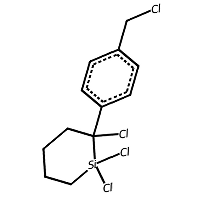 ClCc1ccc(C2(Cl)CCCC[Si]2(Cl)Cl)cc1